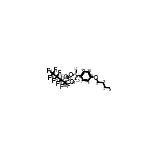 CCCCOc1ccc(S(C)(C)OS(=O)(=O)C(F)(F)C(F)(F)C(F)(F)C(F)(F)F)cc1